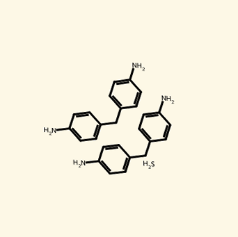 Nc1ccc(Cc2ccc(N)cc2)cc1.Nc1ccc(Cc2ccc(N)cc2)cc1.S